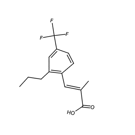 CCCc1cc(C(F)(F)F)ccc1/C=C(\C)C(=O)O